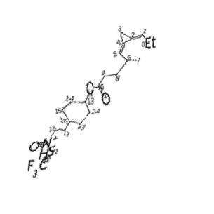 CC/C=C1/C/C1=C/C(C)CCC(=O)OC1CCC(CC[NH+]([O-])SC(F)(F)F)CC1